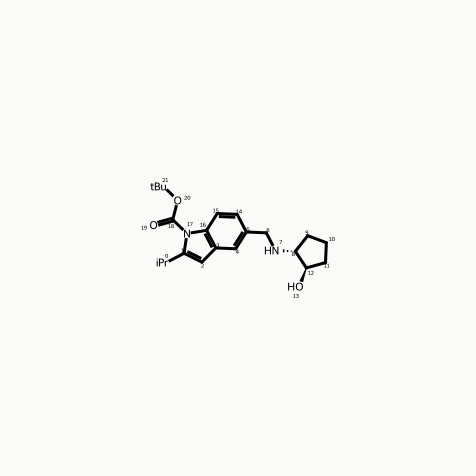 CC(C)c1cc2cc(CN[C@@H]3CCC[C@H]3O)ccc2n1C(=O)OC(C)(C)C